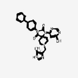 Cc1[nH]cnc1CN1CCC2(CC1)C(=O)N(c1ccc(-c3ccccc3)cc1)C(=O)N2c1cc(O)ncn1